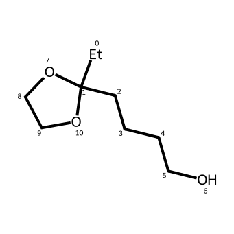 CCC1(CCCCO)OCCO1